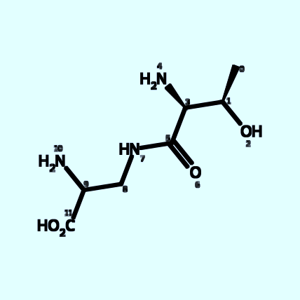 C[C@@H](O)[C@H](N)C(=O)NCC(N)C(=O)O